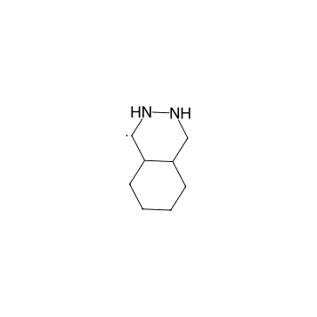 [CH]1NNCC2CCCCC12